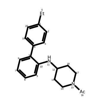 CCc1ccc(-c2ccccc2NC2CCN(C(C)=O)CC2)cc1